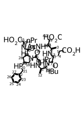 C=C(N[C@H](CCC(=O)O)C(=O)N[C@H](C(=C)N[C@H](C(=O)N1C[C@H](PCc2ccccc2)C[C@H]1C(=O)N[C@@H](CCC)C(=O)O)C(C)C)[C@@H](C)CC)[C@H](CC(=O)O)NC(C)=O